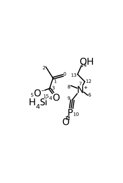 C=C(C)C(=O)[O-].C[N+](C)(C#P=O)CCO.[SiH4]